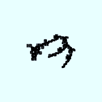 CCCCCCn1cc(COCC(CC)(CC)COCC(CC)(COCc2cn(CCOCCOC)nn2)COCC(CC)(COC)COCc2cn(CCCCCC(=O)NCC(=O)Nc3ccc4c(c3)C(=O)OC43c4ccc(O)cc4Oc4cc(O)ccc43)nn2)nn1